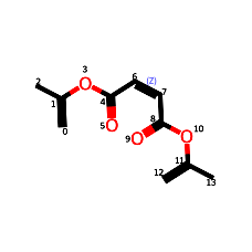 C=C(C)OC(=O)/C=C\C(=O)OC(=C)C